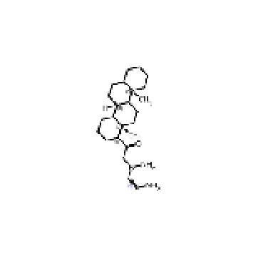 C[C@]12CCCCC1CC[C@@H]1C2CC[C@@]2(C)C1CCC[C@@H]2C(=O)CN(N)/C=C\N